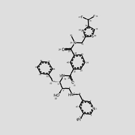 CC(C)c1cncc(CNC[C@@H](O)[C@H](Cc2ccccc2)NC(=O)c2cccc(C(=O)N(C)Cc3nc(C(F)F)cs3)c2)c1